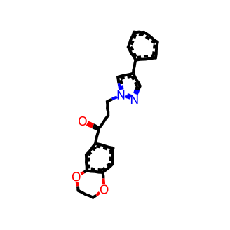 O=C(CCn1cc(-c2ccccc2)cn1)c1ccc2c(c1)OCCO2